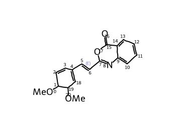 COC1C=CC(/C=C/c2nc3ccccc3c(=O)o2)=CC1OC